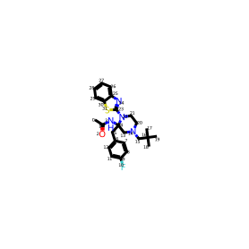 CC(=O)NC1(Cc2ccc(F)cc2)CN(CC(C)(C)C)CCN1c1nc2ccccc2s1